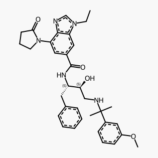 CCn1cnc2c(N3CCCC3=O)cc(C(=O)N[C@@H](Cc3ccccc3)[C@@H](O)CNC(C)(C)c3cccc(OC)c3)cc21